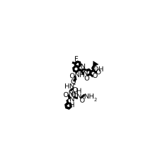 Cc1c(F)cc2nc3c(c4c2c1CC[C@@H]4NC(=O)COCNC(=O)CNC(=O)[C@H](Cc1ccccc1)NC(=O)CNC(=O)CN)Cn1c-3cc2c(c1=O)COC(=O)[C@]2(O)CC1CC1